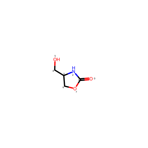 O=C1NC(CO)CO1